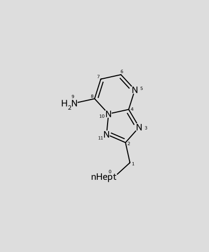 CCCCCCCCc1nc2nccc(N)n2n1